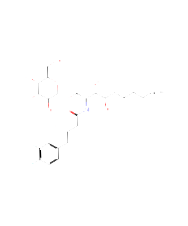 CCCCCCCCCCCCCC[C@@H](O)[C@@H](O)[C@H](CO[C@H]1OC(CO)[C@H](O)[C@H](O)C1O)NC(=O)C[C@@H](O)[C@H](O)c1ccc(F)c(F)c1